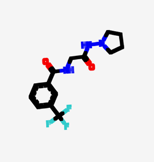 O=C(CNC(=O)c1cccc(C(F)(F)F)c1)NN1CCCC1